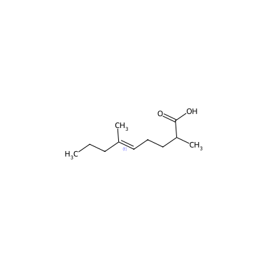 CCC/C(C)=C/CCC(C)C(=O)O